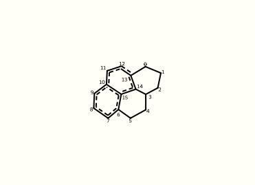 [C]1CCC2CCc3cccc4ccc1c2c34